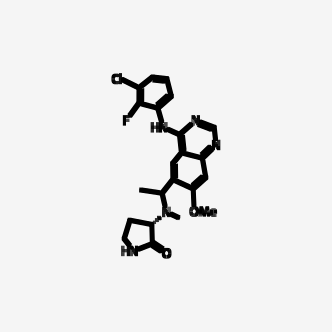 COc1cc2ncnc(Nc3cccc(Cl)c3F)c2cc1C(C)N(C)[C@H]1CCNC1=O